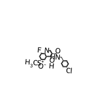 C[S+]([O-])c1cc(F)c2ncc(C(=O)NCc3ccc(Cl)cc3)c(O)c2c1